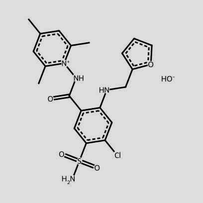 Cc1cc(C)[n+](NC(=O)c2cc(S(N)(=O)=O)c(Cl)cc2NCc2ccco2)c(C)c1.[OH-]